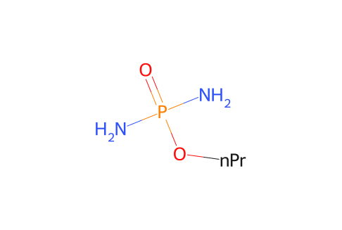 CCCOP(N)(N)=O